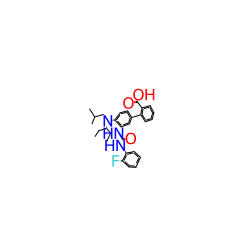 CCC(CC)N(CC(C)C)c1ccc(-c2ccccc2C(=O)O)cc1NC(=O)Nc1ccccc1F